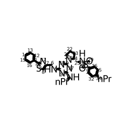 CCCNc1nc(NCc2csc(-c3ccccc3)n2)nc(N2CCC[C@@H]2CNS(=O)(=O)c2ccc(CCC)cc2)n1